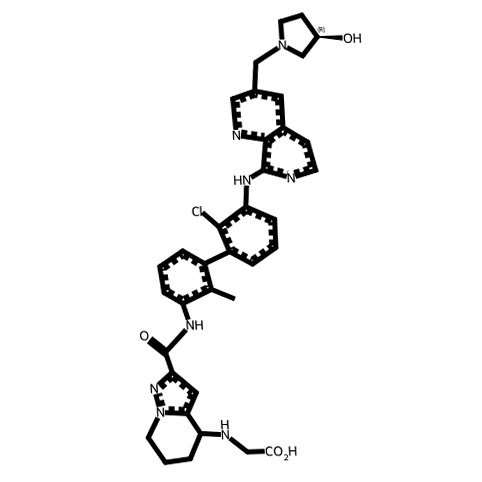 Cc1c(NC(=O)c2cc3n(n2)CCCC3NCC(=O)O)cccc1-c1cccc(Nc2nccc3cc(CN4CC[C@@H](O)C4)cnc23)c1Cl